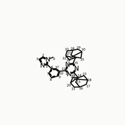 Cn1ccnc1-c1cccc(-c2nc(C34CC5CC(CC(C5)C3)C4)nc(C34CC5CC(CC(C5)C3)C4)n2)c1